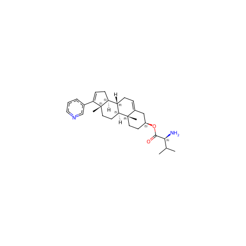 CC(C)[C@H](N)C(=O)O[C@H]1CC[C@@]2(C)C(=CC[C@@H]3[C@@H]2CC[C@]2(C)C(c4cccnc4)=CC[C@@H]32)C1